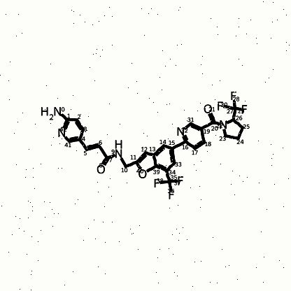 Nc1ccc(C=CC(=O)NCc2cc3cc(-c4ccc(C(=O)N5CCCC5C(F)(F)F)cn4)cc(C(F)(F)F)c3o2)cn1